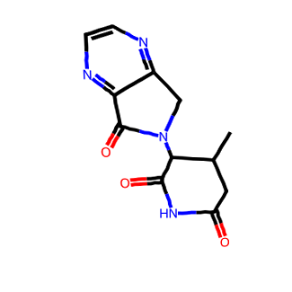 CC1CC(=O)NC(=O)C1N1Cc2nccnc2C1=O